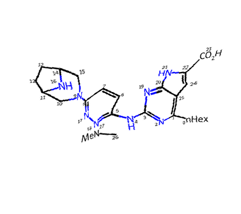 CCCCCCc1nc(Nc2ccc(N3CC4CCC(C3)N4)nn2)nc2[nH]c(C(=O)O)cc12.CNC